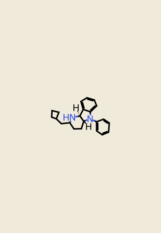 c1ccc(N2c3ccccc3[C@@H]3NC(CC4CCC4)CC[C@H]32)cc1